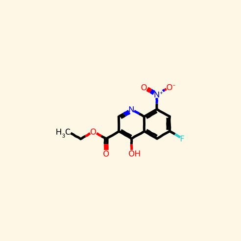 CCOC(=O)c1cnc2c([N+](=O)[O-])cc(F)cc2c1O